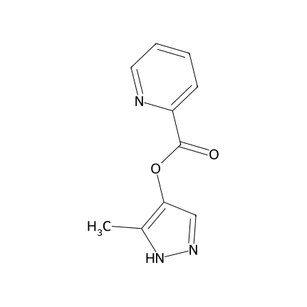 Cc1[nH]ncc1OC(=O)c1ccccn1